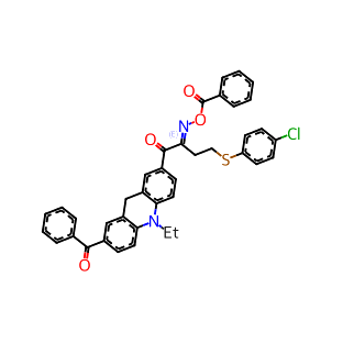 CCN1c2ccc(C(=O)/C(CCSc3ccc(Cl)cc3)=N/OC(=O)c3ccccc3)cc2Cc2cc(C(=O)c3ccccc3)ccc21